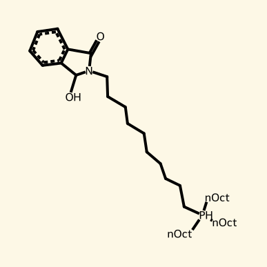 CCCCCCCC[PH](CCCCCCCC)(CCCCCCCC)CCCCCCCCCCN1C(=O)c2ccccc2C1O